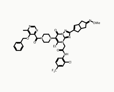 CCc1c(N2CCN(C(=O)c3ncnc(C)c3OCc3ccccc3)CC2)c(=O)n2nc(C3=CC4C/C(=N/OC)CC4C3)nc2n1CC(=O)Nc1ccc(C(F)(F)F)cc1Cl